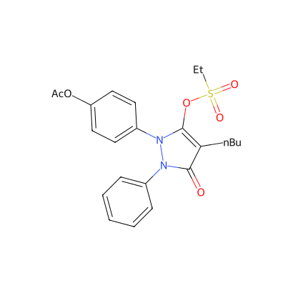 CCCCc1c(OS(=O)(=O)CC)n(-c2ccc(OC(C)=O)cc2)n(-c2ccccc2)c1=O